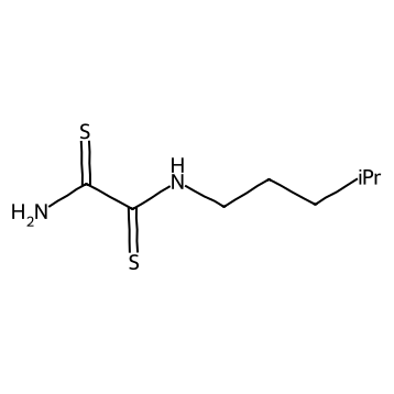 CC(C)CCCNC(=S)C(N)=S